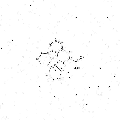 O=C(O)C1Oc2ccccc2C(C2CCCCC2)(C2CCCCC2)O1